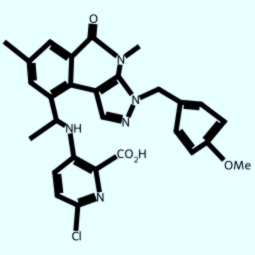 COc1ccc(Cn2ncc3c4c(C(C)Nc5ccc(Cl)nc5C(=O)O)cc(C)cc4c(=O)n(C)c32)cc1